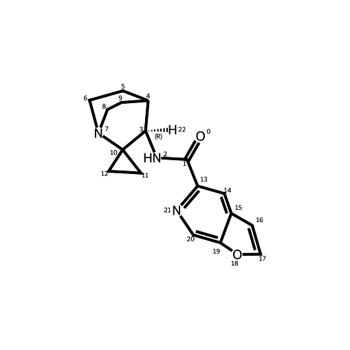 O=C(N[C@@H]1C2CCN(CC2)C12CC2)c1cc2ccoc2cn1